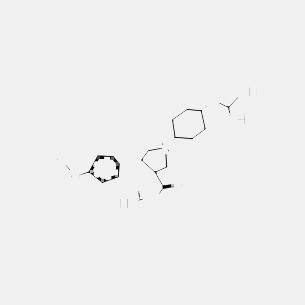 COc1ccc([C@@H]2CN([C@H]3CC[C@H](OC(C)C)CC3)C[C@@]2(OC)C(=O)O)cc1